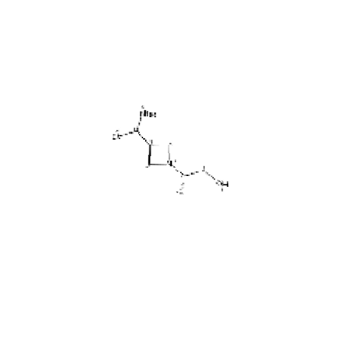 CCCCCCC(CC)C1CN([C@@H](C)CO)C1